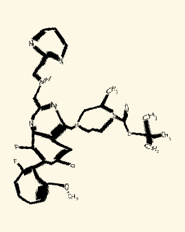 COc1cccc(F)c1-c1c(Cl)cc2c(N3CCN(C(=O)OC(C)(C)C)C(C)C3)nc(CNCc3ncccn3)nc2c1F